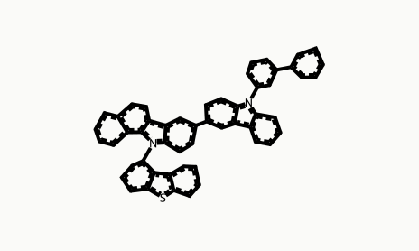 c1ccc(-c2cccc(-n3c4ccccc4c4cc(-c5ccc6c(c5)c5ccc7ccccc7c5n6-c5cccc6sc7ccccc7c56)ccc43)c2)cc1